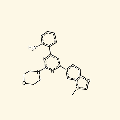 Cn1cnc2ccc(-c3cc(-c4ccccc4N)nc(N4CCOCC4)n3)cc21